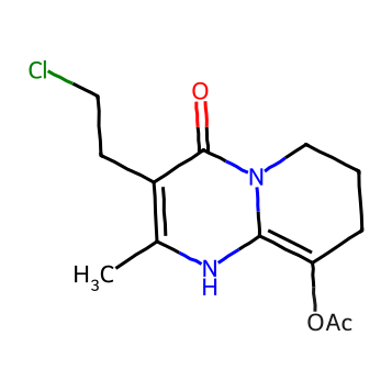 CC(=O)OC1=C2NC(C)=C(CCCl)C(=O)N2CCC1